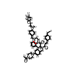 CCc1ccc(C=CC(=O)N(Cc2ccc(N3CCN(C(C)=O)CC3)cc2)[C@@H](Cc2ccccc2)C(=O)N2CCN(Cc3ccc(N(C)CCO[Si](C)(C)C(C)(C)C)cc3)CC2)cc1